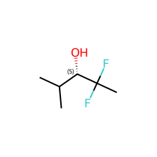 CC(C)[C@H](O)C(C)(F)F